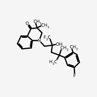 Cc1ccc(F)cc1C(C)(C)CC(O)(CN1CC(C)(C)C(=O)c2ccccc21)C(F)(F)F